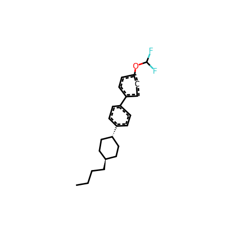 CCCC[C@H]1CC[C@H](c2ccc(-c3ccc(OC(F)F)cc3)cc2)CC1